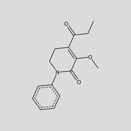 CCC(=O)C1=C(OC)C(=O)N(c2ccccc2)CC1